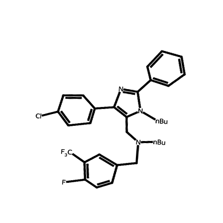 CCCCN(Cc1ccc(F)c(C(F)(F)F)c1)Cc1c(-c2ccc(Cl)cc2)nc(-c2ccccc2)n1CCCC